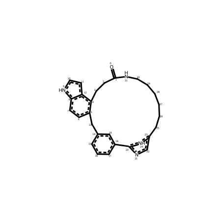 O=C1CCc2c(ccc3[nH]ccc23)Cc2cccc(c2)-c2ncc([nH]2)CCCCCCN1